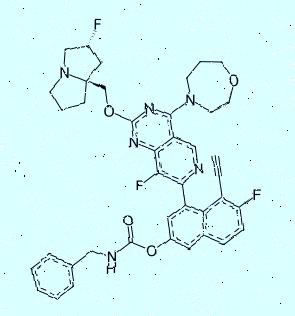 C#Cc1c(F)ccc2cc(OC(=O)NCc3ccccc3)cc(-c3ncc4c(N5CCCOCC5)nc(OC[C@@]56CCCN5C[C@H](F)C6)nc4c3F)c12